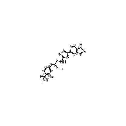 N[C@H](CNc1ncc(-c2ccc3[nH]ncc3c2)s1)Cc1ccc(C(F)(F)F)c(F)c1